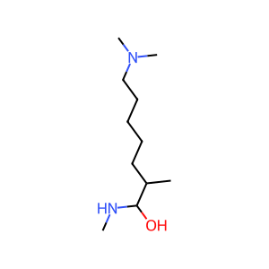 CNC(O)C(C)CCCCCN(C)C